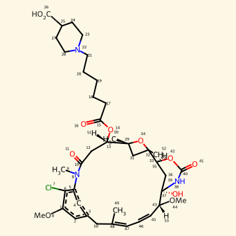 COc1cc2cc(c1Cl)N(C)C(=O)C[C@H](OC(=O)CCCCCN1CCC(C(=O)O)CC1)[C@@]1(C)CC(C)(O1)[C@@H]1C[C@@](O)(NC(=O)O1)[C@H](OC)/C=C/C=C(\C)C2